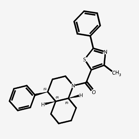 Cc1nc(-c2ccccc2)sc1C(=O)N1CC[C@H](c2ccccc2)[C@H]2CCCC[C@H]21